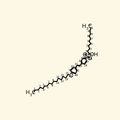 CCCCCCCCCCCCCCCCOc1ccc(C=Cc2ccc(S(=O)(=O)C(O)CCCCCCCCCCC)cc2)cc1